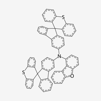 c1ccc2c(c1)Sc1ccccc1C21c2ccccc2-c2cc(N(c3ccc4c(c3)-c3ccccc3C43c4ccccc4Sc4ccccc43)c3cccc4oc5ccccc5c34)ccc21